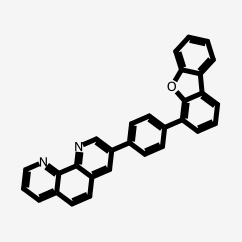 c1cnc2c(c1)ccc1cc(-c3ccc(-c4cccc5c4oc4ccccc45)cc3)cnc12